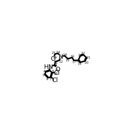 O=C(Nc1cccc(Cl)c1Cl)C1CN(CCCCc2ccccc2)CCO1